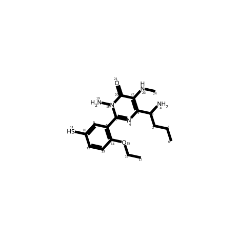 CCCC(N)c1nc(-c2cc(S)ccc2OCC)n(N)c(=O)c1NC